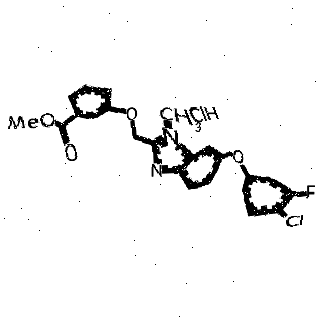 COC(=O)c1cccc(OCc2nc3ccc(Oc4ccc(Cl)c(F)c4)cc3n2C)c1.Cl